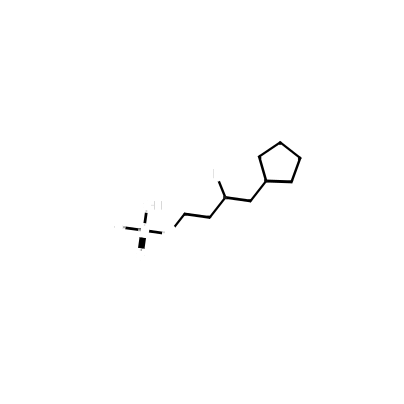 O=P(O)(O)OCCC(F)CC1CCCC1